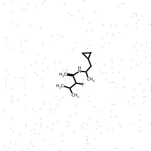 C=C(NC(C)CC1CC1)C(F)C(C)C